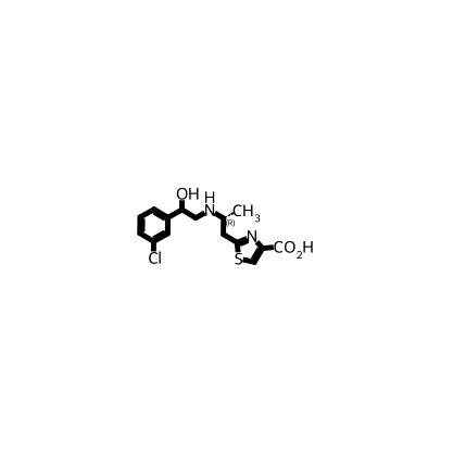 C[C@H](Cc1nc(C(=O)O)cs1)NCC(O)c1cccc(Cl)c1